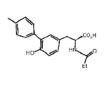 CCC(=O)N[C@@H](Cc1ccc(O)c(-c2ccc(C)cc2)c1)C(=O)O